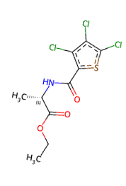 CCOC(=O)[C@H](C)NC(=O)c1sc(Cl)c(Cl)c1Cl